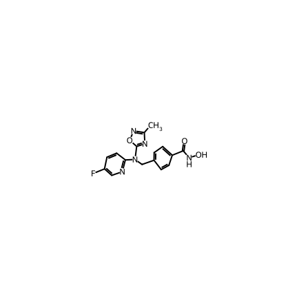 Cc1noc(N(Cc2ccc(C(=O)NO)cc2)c2ccc(F)cn2)n1